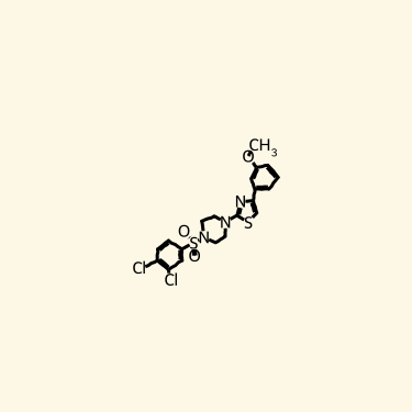 COc1cccc(-c2csc(N3CCN(S(=O)(=O)c4ccc(Cl)c(Cl)c4)CC3)n2)c1